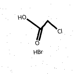 Br.O=C(O)CCl